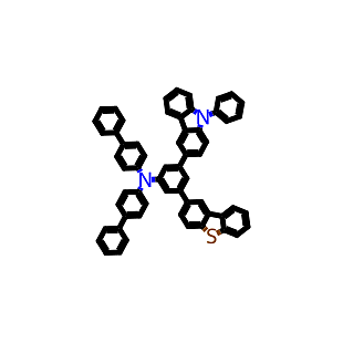 c1ccc(-c2ccc(N(c3ccc(-c4ccccc4)cc3)c3cc(-c4ccc5sc6ccccc6c5c4)cc(-c4ccc5c(c4)c4ccccc4n5-c4ccccc4)c3)cc2)cc1